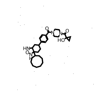 O=C(c1ccc(C2CCC3(C4CCCCCCCC4)NONC3C2)cc1)N1CCN(C(=O)C2(O)CC2)CC1